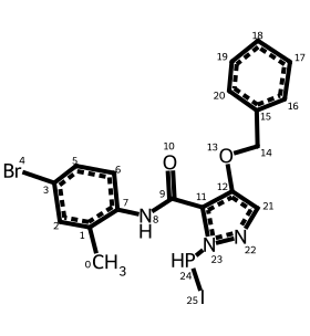 Cc1cc(Br)ccc1NC(=O)c1c(OCc2ccccc2)cnn1PI